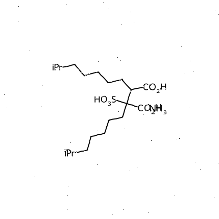 CC(C)CCCCCC(C(=O)O)C(CCCCCC(C)C)(C(=O)O)S(=O)(=O)O.N